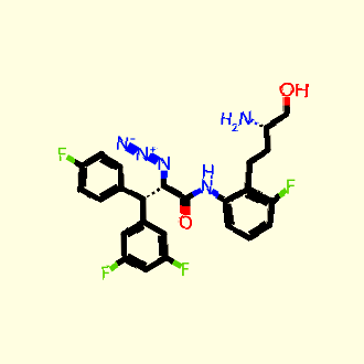 [N-]=[N+]=NC(C(=O)Nc1cccc(F)c1CC[C@H](N)CO)[C@@H](c1ccc(F)cc1)c1cc(F)cc(F)c1